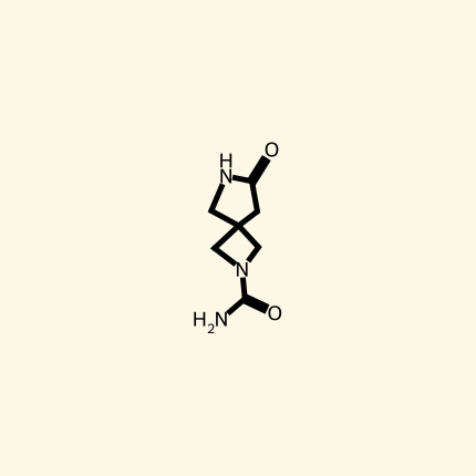 NC(=O)N1CC2(CNC(=O)C2)C1